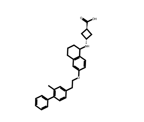 Cc1cc(CCOc2ccc3c(c2)CCCC3N[C@H]2C[C@H](C(=O)O)C2)ccc1-c1ccccc1